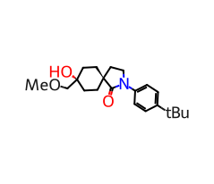 COC[C@]1(O)CC[C@]2(CCN(c3ccc(C(C)(C)C)cc3)C2=O)CC1